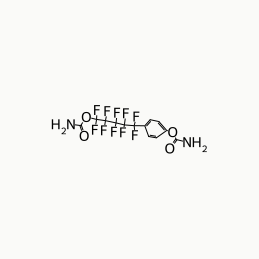 NC(=O)Oc1ccc(C(F)(F)C(F)(F)C(F)(F)C(F)(F)C(F)(F)OC(N)=O)cc1